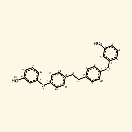 Oc1cccc(Oc2ccc(CCc3ccc(Oc4cccc(O)c4)cc3)cc2)c1